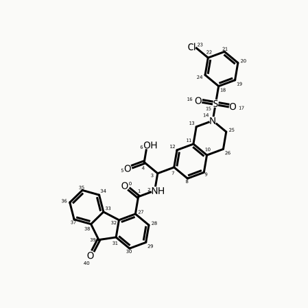 O=C(NC(C(=O)O)c1ccc2c(c1)CN(S(=O)(=O)c1cccc(Cl)c1)CC2)c1cccc2c1-c1ccccc1C2=O